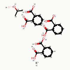 O=C([O-])c1ccccc1C(=O)O.O=C([O-])c1ccccc1C(=O)O.O=C([O-])c1ccccc1C(=O)O.[B+2]OC(C)C.[K+]